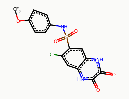 O=c1[nH]c2cc(Cl)c(S(=O)(=O)Nc3ccc(OC(F)(F)F)cc3)cc2[nH]c1=O